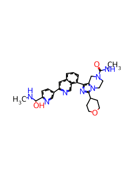 CNC(=O)N1CCn2c(C3CCOCC3)nc(-c3cccc4cc(-c5ccc(C(O)NC)nc5)ncc34)c2C1